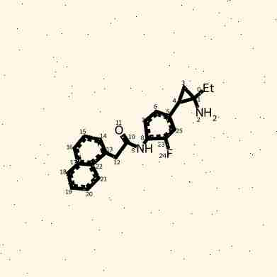 CCC1(N)CC1c1ccc(NC(=O)Cc2cccc3ccccc23)c(F)c1